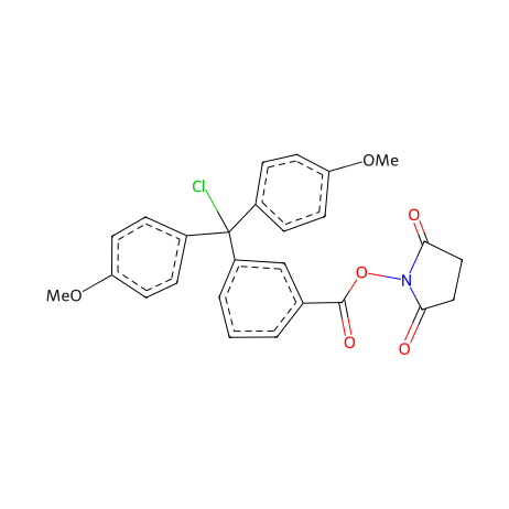 COc1ccc(C(Cl)(c2ccc(OC)cc2)c2cccc(C(=O)ON3C(=O)CCC3=O)c2)cc1